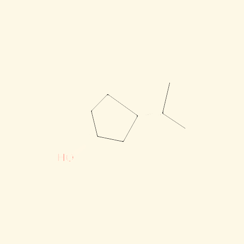 CC(C)[C@H]1C[C@@H](C)[C@@H](O)C1